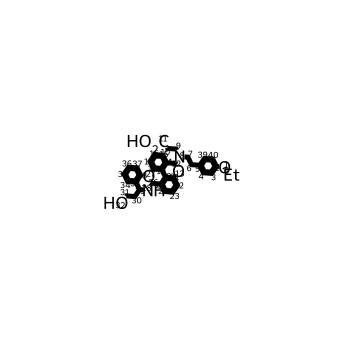 CCOc1ccc(CCN(CCC(=O)O)C(=O)c2ccccc2-c2ccccc2C(=O)NC(CCO)c2ccccc2)cc1